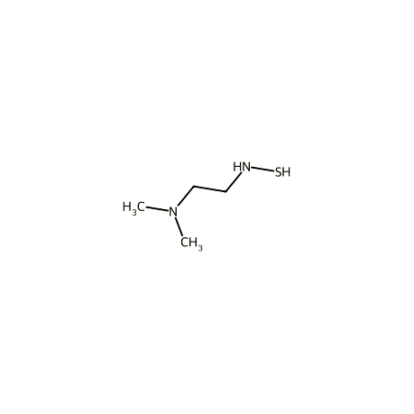 CN(C)CCNS